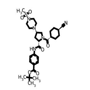 CC(C)(C)OC(=O)c1ccc(NC(=O)[C@@H]2C[C@H](N3CCN(S(C)(=O)=O)CC3)CN2C(=O)[C@H]2CC[C@H](C#N)CC2)cc1